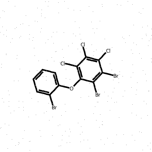 Clc1c(Cl)c(Br)c(Br)c(Oc2ccccc2Br)c1Cl